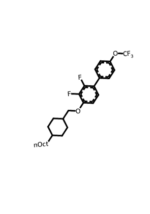 CCCCCCCCC1CCC(COc2ccc(-c3ccc(OC(F)(F)F)cc3)c(F)c2F)CC1